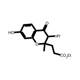 CCCC1C(=O)c2ccc(O)cc2OC1(C)CCC(=O)OCC